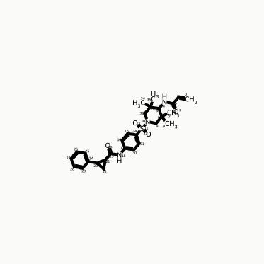 C=CC(=O)NC1C(C)(C)CN(S(=O)(=O)c2ccc(NC(=O)C3CC3c3ccccc3)cc2)CC1(C)C